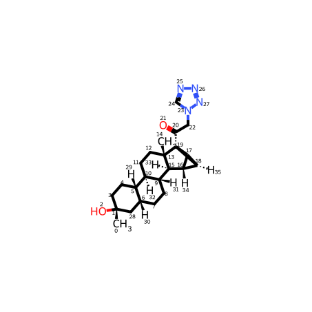 C[C@@]1(O)CC[C@H]2[C@H](CC[C@@H]3[C@@H]2CC[C@@]2(C)[C@H]3[C@@H]3C4[C@@H]3[C@]42C(=O)Cn2cnnn2)C1